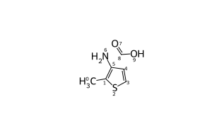 Cc1sccc1N.O=CO